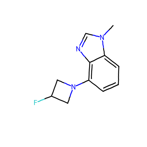 Cn1cnc2c(N3CC(F)C3)cccc21